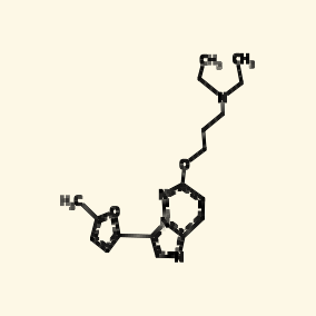 CCN(CC)CCCOc1ccc2ncc(-c3ccc(C)o3)n2n1